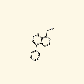 BrCc1cccc2c(-c3ccccc3)ccnc12